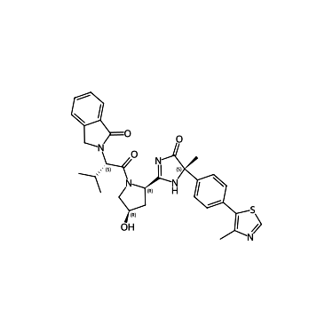 Cc1ncsc1-c1ccc([C@]2(C)NC([C@H]3C[C@@H](O)CN3C(=O)[C@H](C(C)C)N3Cc4ccccc4C3=O)=NC2=O)cc1